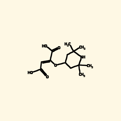 CC1(C)CC(O/C(=C\C(=O)O)C(=O)O)CC(C)(C)N1